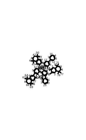 Cc1cc2c(cc1N1c3cc(-c4ccccc4)ccc3Bc3c1cc1c(oc4ccccc41)c3-c1c(Nc3ccc4c(c3)C(C)(C)CCC4(C)C)ccc3c1oc1cc4c(cc13)C(C)(C)CCC4(C)C)C(C)(C)CCC2(C)C